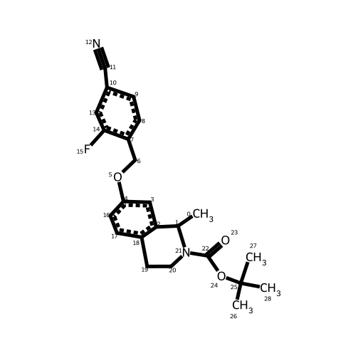 CC1c2cc(OCc3ccc(C#N)cc3F)ccc2CCN1C(=O)OC(C)(C)C